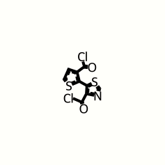 O=C(Cl)c1ccsc1-c1scnc1C(=O)Cl